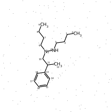 CCCCNN(CCCC)CC(C)c1ccccc1